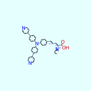 [C-]#[N+]/C(=C\C=C\c1ccc(N(c2ccc(-c3ccncc3)cc2)c2ccc(-c3ccncc3)cc2)cc1)C(=O)O